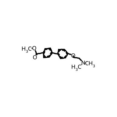 COC(=O)c1ccc(-c2ccc(OCCN(C)C)cc2)cc1